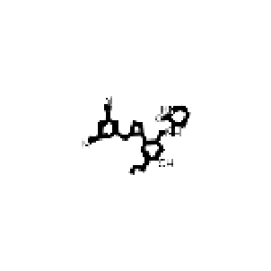 CCCc1cc(C2CCC2Cc2cc(C#N)cc(C#N)c2)c(CNC2CCCNC2=O)cc1O